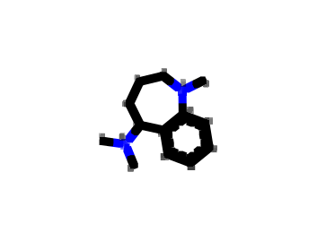 CN1CCCC(N(C)C)c2ccccc21